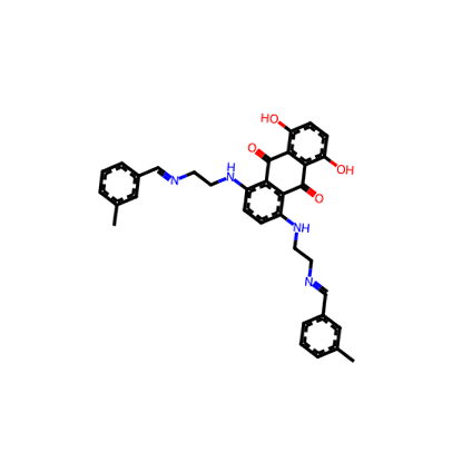 Cc1cccc(C=NCCNc2ccc(NCCN=Cc3cccc(C)c3)c3c2C(=O)c2c(O)ccc(O)c2C3=O)c1